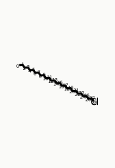 CCCCCCCCCCCCCCCCCCCCCCCCCCCCCl